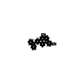 N#Cc1ccc(-c2ccccc2-n2c3ccccc3c3cc(C#N)ccc32)c(-c2ccc(-n3c4ccccc4c4ccccc43)cc2)c1